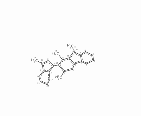 Cc1cc2c3ccccc3n(C)c2c(C)c1-c1cn(C)c2ccccc12